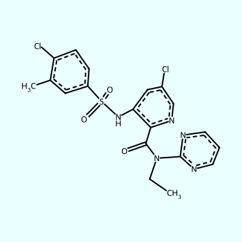 CCN(C(=O)c1ncc(Cl)cc1NS(=O)(=O)c1ccc(Cl)c(C)c1)c1ncccn1